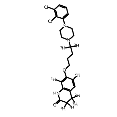 [2H]c1cc2c(c([2H])c1OCCCC([2H])([2H])N1CCN(c3cccc(Cl)c3Cl)CC1)NC(=O)C([2H])([2H])C2([2H])[2H]